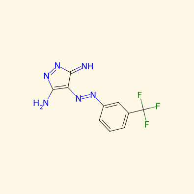 N=C1N=NC(N)=C1/N=N/c1cccc(C(F)(F)F)c1